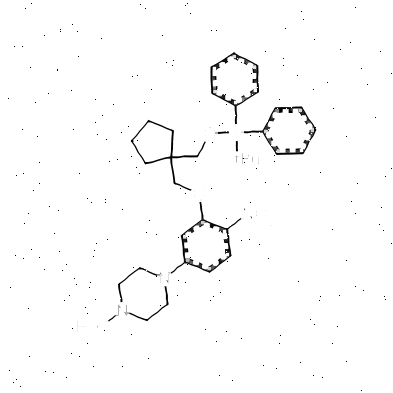 CN1CCN(c2ccc([N+](=O)[O-])c(OCC3(CO[Si](c4ccccc4)(c4ccccc4)C(C)(C)C)CCCC3)c2)CC1